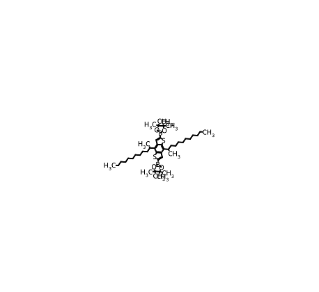 CCCCCCCCCCC(C)c1c2cc(B3OC(C)(C)C(C)(C)O3)sc2c(C(C)CCCCCCCCCC)c2cc(B3OC(C)(C)C(C)(C)O3)sc12